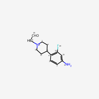 Nc1ccc(C2CCN(BC=O)CC2)c(F)c1